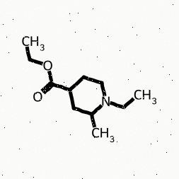 CCOC(=O)C1CCN(CC)C(C)C1